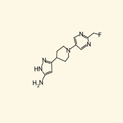 Nc1cc(C2CCN(c3cnc(CF)nc3)CC2)n[nH]1